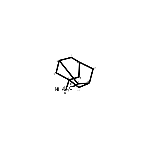 CC(=O)NC12CC3CC(C1)C(C)C(C3)C2